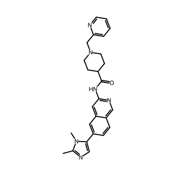 Cc1ncc(-c2ccc3cnc(NC(=O)C4CCN(Cc5ccccn5)CC4)cc3c2)n1C